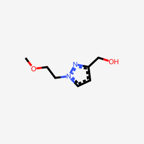 COCCn1ccc(CO)n1